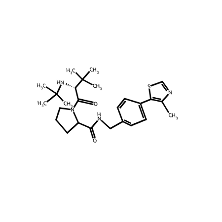 Cc1ncsc1-c1ccc(CNC(=O)C2CCCN2C(=O)[C@H](NC(C)(C)C)C(C)(C)C)cc1